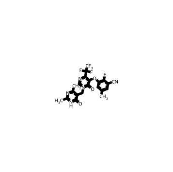 Cc1cc(C#N)c(F)c(Oc2c(C(F)(F)C(F)(F)F)ncn(Cc3c(C)nc(C)[nH]c3=O)c2=O)c1